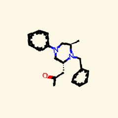 CC(=O)C[C@@H]1CN(c2ccccc2)C[C@@H](C)N1Cc1ccccc1